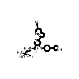 CC(C)(O)[C@H](F)CNC(=O)c1cnc(-c2ccc3cc(C#N)cnn23)cc1NC1CCC(c2cn[nH]c2)CC1